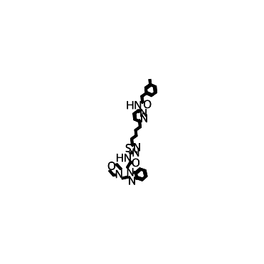 Cc1cccc(CC(=O)Nc2ccc(CCCCc3nnc(NC(=O)Cn4c(CN5CCOCC5)nc5ccccc54)s3)nn2)c1